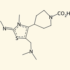 CN=c1sc(CN(C)C)c(C2CCN(C(=O)O)CC2)n1C